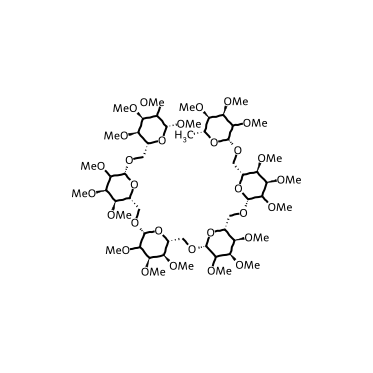 COC1[C@H](OC[C@H]2O[C@@H](OC[C@H]3O[C@@H](OC[C@H]4O[C@@H](OC[C@H]5O[C@@H](OC[C@H]6O[C@@H](OC)C(OC)[C@H](OC)[C@@H]6OC)C(OC)[C@H](OC)[C@@H]5OC)C(OC)[C@H](OC)[C@@H]4OC)C(OC)[C@H](OC)[C@@H]3OC)C(OC)[C@H](OC)[C@@H]2OC)O[C@H](C)[C@@H](OC)[C@H]1OC